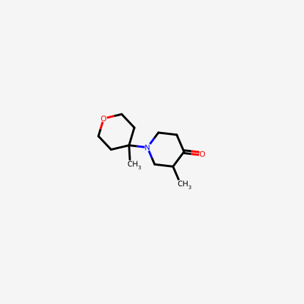 CC1CN(C2(C)CCOCC2)CCC1=O